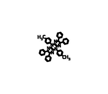 Cc1ccc(N2c3nc(-c4ccccc4)c(-c4ccccc4)nc3N(c3ccc(C)cc3)c3nc(-c4ccccc4)c(-c4ccccc4)nc32)cc1